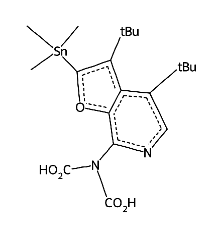 CC(C)(C)c1cnc(N(C(=O)O)C(=O)O)c2o[c]([Sn]([CH3])([CH3])[CH3])c(C(C)(C)C)c12